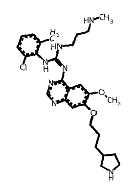 CNCCCNC(=Nc1ncnc2cc(OCCCC3CCNC3)c(OC)cc12)Nc1c(C)cccc1Cl